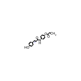 C=CC(=O)Oc1ccc(NC(=O)/C=C/c2ccc(O)cc2)cc1